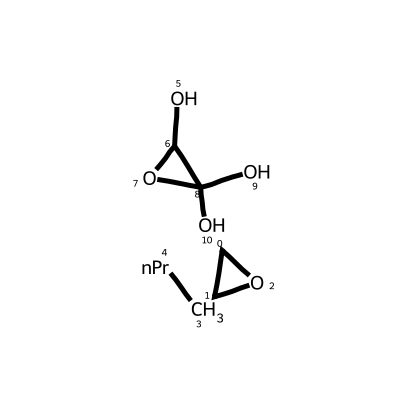 C1CO1.CCCC.OC1OC1(O)O